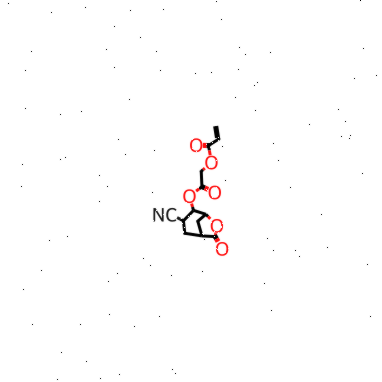 C=CC(=O)OCC(=O)OC1C(C#N)CC2CC1OC2=O